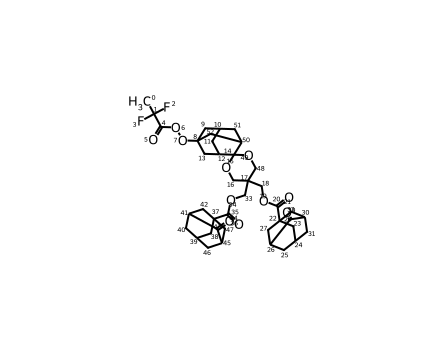 CC(F)(F)C(=O)OOC12CC3CC(C1)C1(OCC(COC(=O)C45CC6CC(C4)C(=O)C(C6)C5)(COC(=O)C45CC6CC(C4)C(=O)C(C6)C5)CO1)C(C3)C2